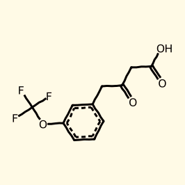 O=C(O)CC(=O)Cc1cccc(OC(F)(F)F)c1